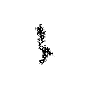 CC1CN(CC2CCC(n3nc(-c4ccc(Oc5ccccc5)cc4)c4c(N)ncnc43)C(F)C2)CC(C)N1c1ccc2c(c1)C(=O)N(C1CCC(=O)NC1=O)C2=O